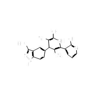 Cc1n[nH]c2ccc(C3C(C#N)=C(c4cccnc4Cl)NC(C(F)(F)F)=C3C#N)cc12